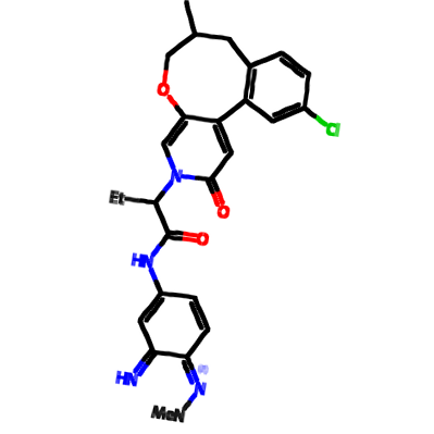 CCC(C(=O)NC1=CC(=N)/C(=N\NC)C=C1)n1cc2c(cc1=O)-c1cc(Cl)ccc1CC(C)CO2